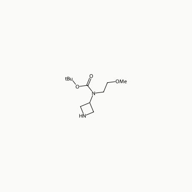 COCCN(C(=O)OC(C)(C)C)C1CNC1